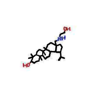 C=C(C)C1CCC2(CNCCO)CCC3(C)C(CCC4C5(C)CCC(O)C(C)(C)C5CCC43C)C12